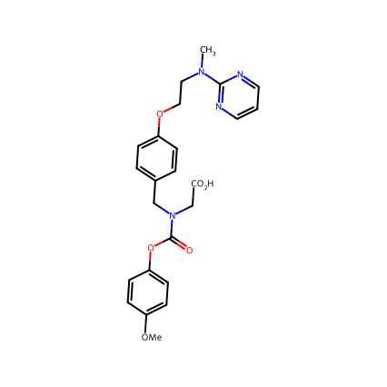 COc1ccc(OC(=O)N(CC(=O)O)Cc2ccc(OCCN(C)c3ncccn3)cc2)cc1